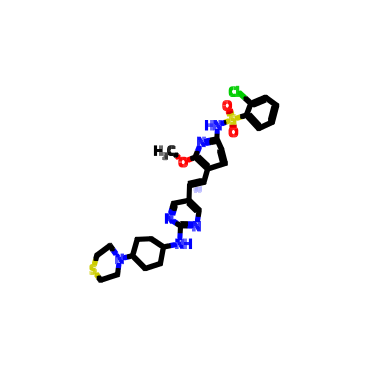 COc1nc(NS(=O)(=O)c2ccccc2Cl)ccc1/C=C/c1cnc(NC2CCC(N3CCSCC3)CC2)nc1